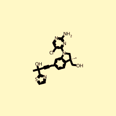 CC(O)(C#Cc1ccc2c(c1)N(c1nc(N)ncc1Cl)C[C@@]2(C)CO)c1nccs1